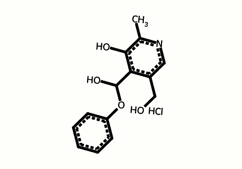 Cc1ncc(CO)c(C(O)Oc2ccccc2)c1O.Cl